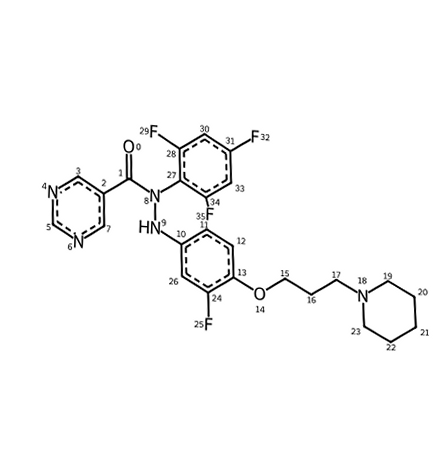 O=C(c1cncnc1)N(Nc1ccc(OCCCN2CCCCC2)c(F)c1)c1c(F)cc(F)cc1F